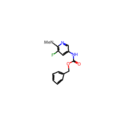 CNc1ncc(NC(=O)OCc2ccccc2)cc1F